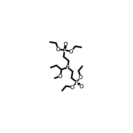 CCOP(=O)(CCN(CCP(=O)(OCC)OCC)C(CC)OC)OCC